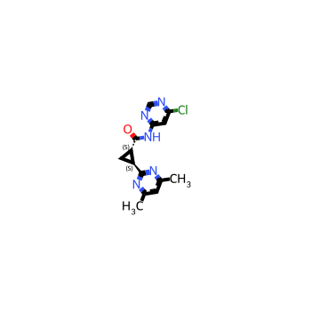 Cc1cc(C)nc([C@H]2C[C@@H]2C(=O)Nc2cc(Cl)ncn2)n1